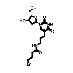 O=C(CCCBr)NCCCc1cn([C@@H]2CC(O)[C@H](CO)O2)c(=O)[nH]c1=O